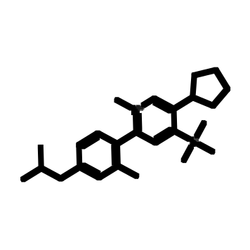 Cc1cc(CC(C)C)ccc1-c1cc([Si](C)(C)C)c(C2CCCC2)c[n+]1C